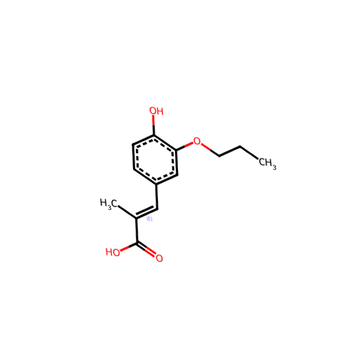 CCCOc1cc(/C=C(\C)C(=O)O)ccc1O